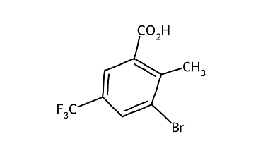 Cc1c(Br)cc(C(F)(F)F)cc1C(=O)O